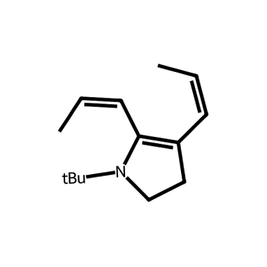 C/C=C\C1=C(/C=C\C)N(C(C)(C)C)CC1